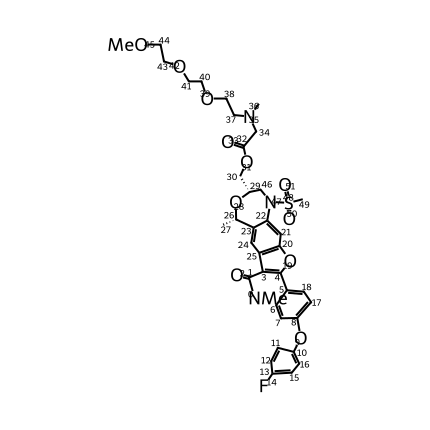 CNC(=O)c1c(-c2ccc(Oc3ccc(F)cc3)cc2)oc2cc3c(cc12)[C@H](C)O[C@H](COC(=O)CN(C)CCOCCOCCOC)CN3S(C)(=O)=O